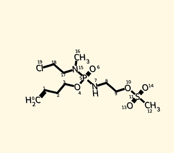 C=CCCOP(=O)(NCCOS(C)(=O)=O)N(C)CCCl